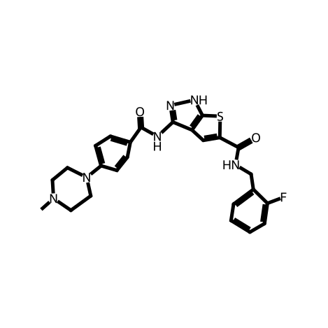 CN1CCN(c2ccc(C(=O)Nc3n[nH]c4sc(C(=O)NCc5ccccc5F)cc34)cc2)CC1